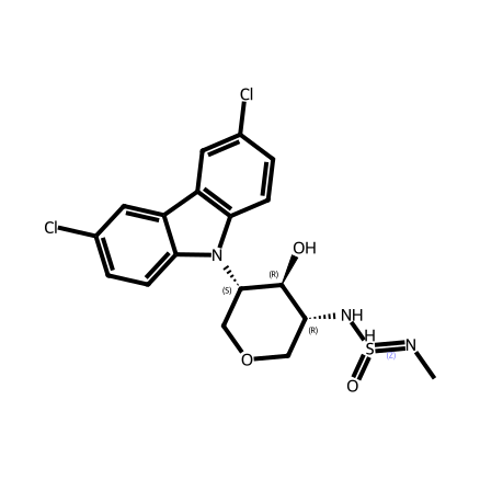 C/N=[SH](=O)/N[C@@H]1COC[C@H](n2c3ccc(Cl)cc3c3cc(Cl)ccc32)[C@H]1O